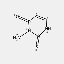 Nn1c(=O)cc[nH]c1=S